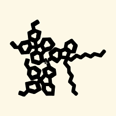 C=Cc1ccc(C2(c3ccc(C=C)cc3)c3ccccc3-c3ccc(N(c4ccc5c(c4)C(CCCCCCCC)(CCCCCCCC)C4=C5CCC=C4)c4cccc5c4-c4ccccc4C5(c4ccc(C=C)cc4)c4ccc(C=C)cc4)cc32)cc1